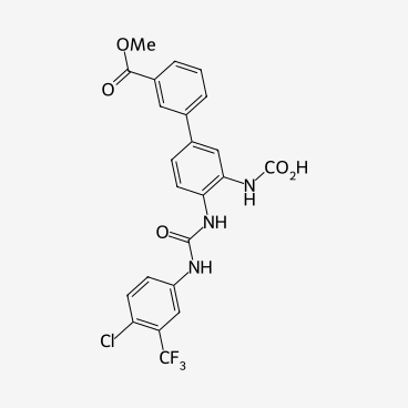 COC(=O)c1cccc(-c2ccc(NC(=O)Nc3ccc(Cl)c(C(F)(F)F)c3)c(NC(=O)O)c2)c1